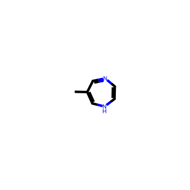 CC1=CNC=CN=C1